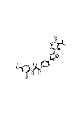 COC(=O)C(NC(=O)c1cc(-c2ccc(NC(=O)Nc3ccc(OC)cc3OC)cc2)no1)C(C)C